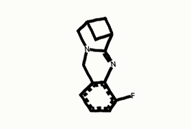 Fc1cccc2c1N=C1C3CC(C3)CN1C2